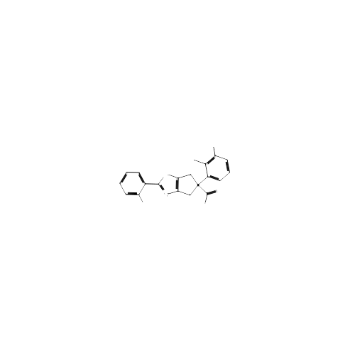 Cc1c(F)cccc1C1(C(=O)O)Cc2nc(-c3ccccc3F)sc2C1